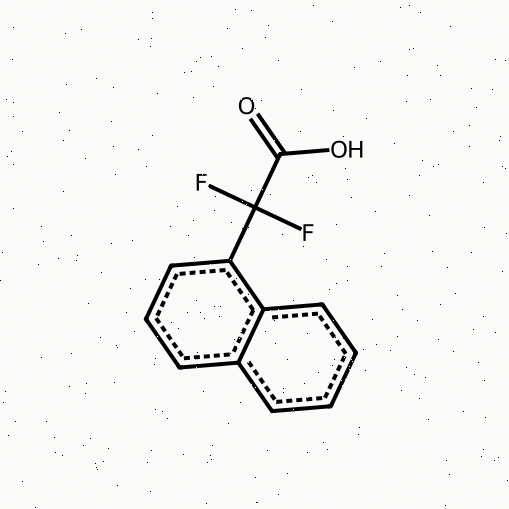 O=C(O)C(F)(F)c1cccc2ccccc12